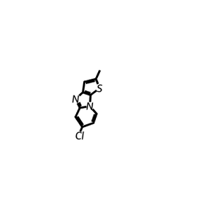 Cc1cc2nc3cc(Cl)ccn3c2s1